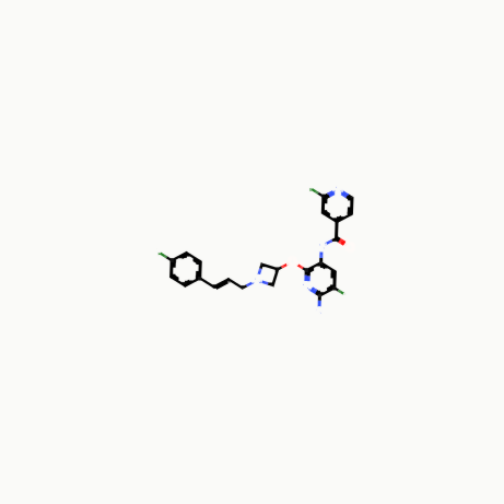 Nc1nc(OC2CN(C/C=C/c3ccc(Cl)cc3)C2)c(NC(=O)c2ccnc(Cl)c2)cc1Cl